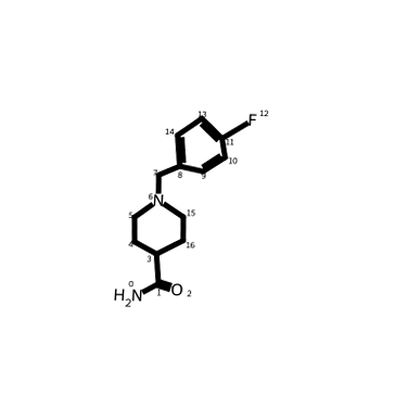 NC(=O)C1CCN(Cc2ccc(F)cc2)CC1